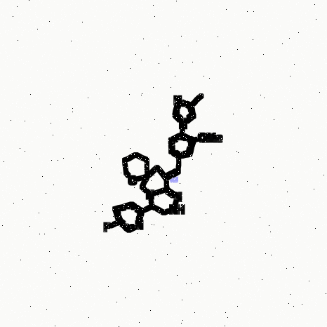 COc1cc(/C=C2\CC3(CCCCO3)CN3C2=NNCC3c2ccc(F)cn2)ccc1-n1cnc(C)c1